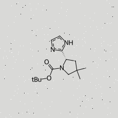 CC1(C)C[C@@H](c2ncc[nH]2)N(C(=O)OC(C)(C)C)C1